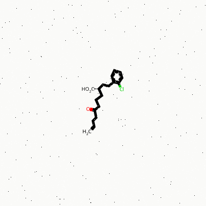 C=CCCC(=O)CCC[C@@H](CCc1ccccc1Cl)C(=O)O